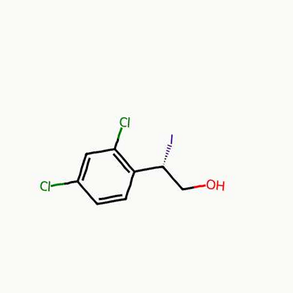 OC[C@@H](I)c1ccc(Cl)cc1Cl